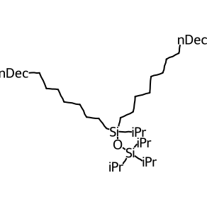 CCCCCCCCCCCCCCCCCC[Si](CCCCCCCCCCCCCCCCCC)(O[Si](C(C)C)(C(C)C)C(C)C)C(C)C